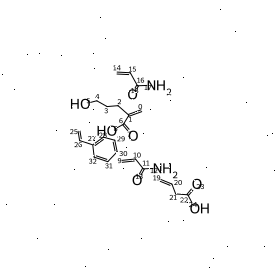 C=C(CCCO)C(=O)O.C=CC(N)=O.C=CC(N)=O.C=CCC(=O)O.C=Cc1ccccc1